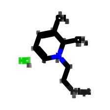 CCCCCCCCCN1C=CC=C(C)C1C.Cl